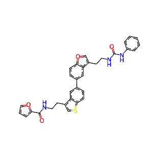 O=C(NCCc1coc2ccc(-c3ccc4scc(CCNC(=O)c5ccco5)c4c3)cc12)Nc1ccccc1